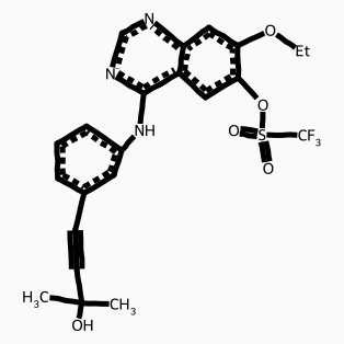 CCOc1cc2ncnc(Nc3cccc(C#CC(C)(C)O)c3)c2cc1OS(=O)(=O)C(F)(F)F